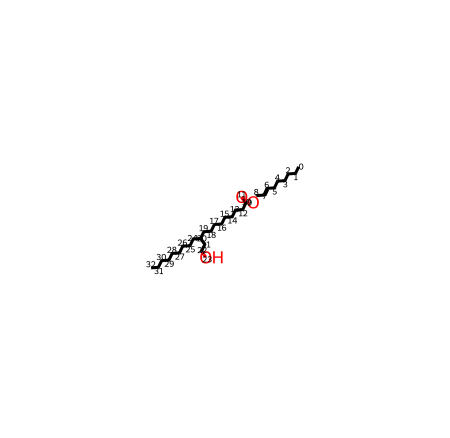 CCCCCCC=CCOC(=O)CCCCCCCCC(CCO)CCCCCCCCC